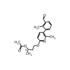 CC(=O)O[C@H](C)CCOc1ccc(-c2cccc(C=O)c2C)c(C)n1